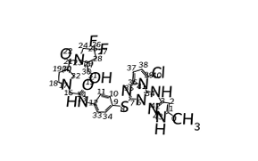 Cc1cc(Nc2nc(Sc3ccc(NC(=O)CN4CC[C@@H](C(=O)N5CC(F)(F)C[C@H]5CO)C4)cc3)nc3ccc(Cl)n23)n[nH]1